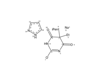 CCCC(C)C1(CC)C(=O)N=C([O-])NC1=O.[Na+].c1cn[nH]c1